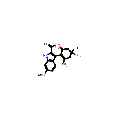 C=C(C)c1[nH]c2cc(OC)ccc2c1C1=C(C)CC(C)(C)CC1=O